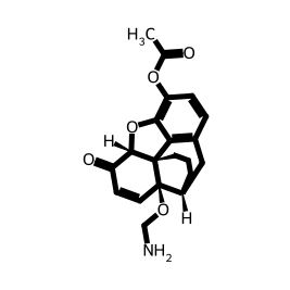 CC(=O)Oc1ccc2c3c1O[C@H]1C(=O)C=C[C@@]4(OCN)[C@H](CCC[C@]314)C2